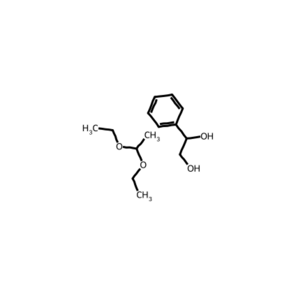 CCOC(C)OCC.OCC(O)c1ccccc1